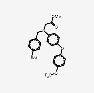 COC(=O)CN(Cc1ccc(C(C)(C)C)cc1)c1ccc(Oc2ccc(OC(F)(F)F)cc2)cc1